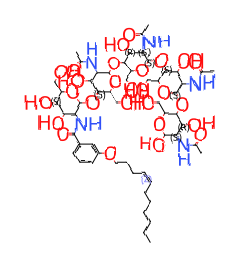 CCCCCC/C=C\CCCOc1cccc(C(=O)NC2C(O[C@@H]3C(CO)OC(OC4C(CO)O[C@@H](O[C@@H]5C(CO)O[C@@H](OC6C(CO)OC(O)[C@@H](NC(C)=O)[C@H]6O)C(NC(C)=O)C5O)[C@@H](NC(C)=O)[C@H]4O)C(NC(C)=O)C3O)OC(CO)[C@@H](O)C2O)c1